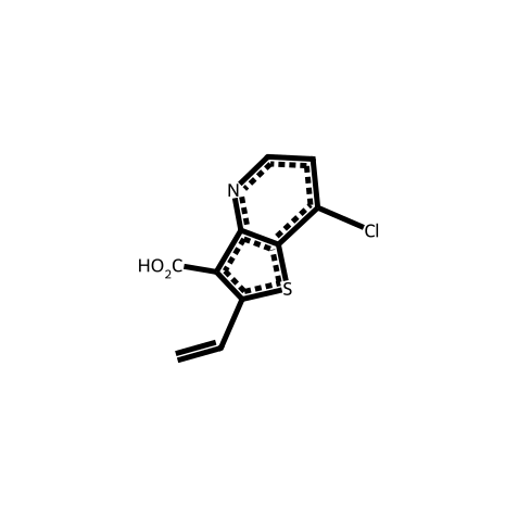 C=Cc1sc2c(Cl)ccnc2c1C(=O)O